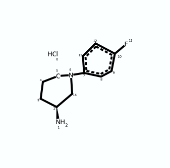 Cl.N[C@H]1CCCN(c2ccc(F)cc2)C1